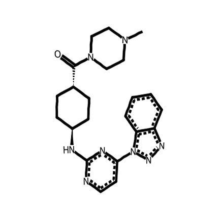 CN1CCN(C(=O)[C@H]2CC[C@H](Nc3nccc(-n4nnc5ccccc54)n3)CC2)CC1